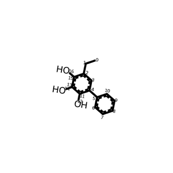 CCc1cc(-c2ccccc2)c(O)c(O)c1O